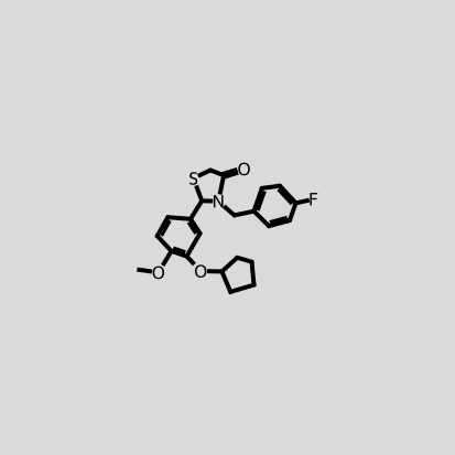 COc1ccc(C2SCC(=O)N2Cc2ccc(F)cc2)cc1OC1CCCC1